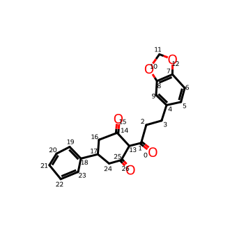 O=C(CCc1ccc2c(c1)OCO2)C1C(=O)CC(c2ccccc2)CC1=O